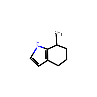 CC1CCCc2cc[nH]c21